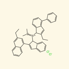 CCC1=Cc2c(-c3ccccc3)cccc2[CH]1[Ti+2]([CH]1C(c2cc(CC)cc3ccccc23)=Cc2ccccc21)=[Si](C)C.[Cl-].[Cl-]